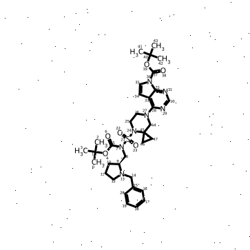 CC(C)(C)OC(=O)N(C[C@@H]1CCCN1Cc1ccccc1)S(=O)(=O)N1CCN(c2ncnc3c2ccn3C(=O)OC(C)(C)C)CC12CC2